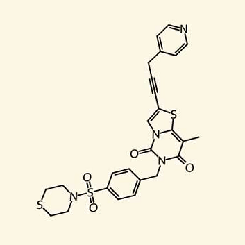 Cc1c(=O)n(Cc2ccc(S(=O)(=O)N3CCSCC3)cc2)c(=O)n2cc(C#CCc3ccncc3)sc12